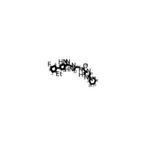 CCc1ccc(F)cc1-c1ccc2c(-c3nc(CNC(=O)c4cnc(N5CCCCC5)cn4)c[nH]3)n[nH]c2c1